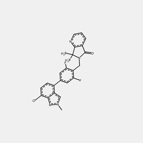 BC1(B)c2ncccc2C(=O)N1Cc1c(F)cc(-c2ccc(Cl)c3nn(C)cc23)cc1F